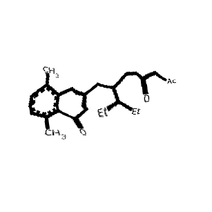 CCC(CC)C(CC(=O)CC(C)=O)CC1CC(=O)c2c(C)ccc(C)c2C1